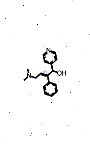 CN(C)C/C=C(\c1ccccc1)C(O)c1ccncc1